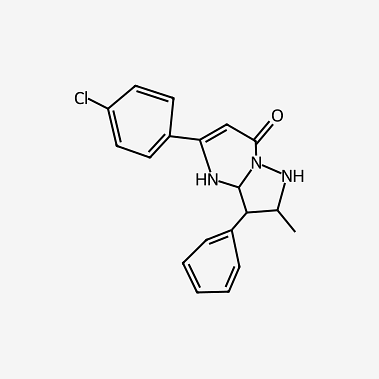 CC1NN2C(=O)C=C(c3ccc(Cl)cc3)NC2C1c1ccccc1